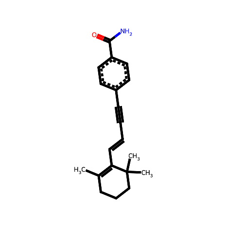 CC1=C(C=CC#Cc2ccc(C(N)=O)cc2)C(C)(C)CCC1